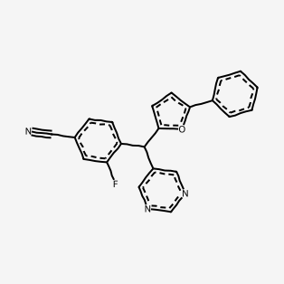 N#Cc1ccc(C(c2cncnc2)c2ccc(-c3ccccc3)o2)c(F)c1